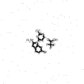 Nc1cc2ccc(Br)cc2n1-c1ccnc(Cl)n1.O=C(O)C(F)(F)F